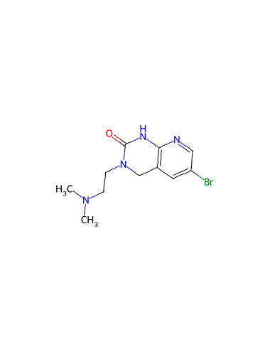 CN(C)CCN1Cc2cc(Br)cnc2NC1=O